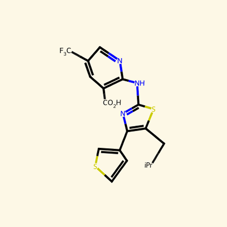 CC(C)Cc1sc(Nc2ncc(C(F)(F)F)cc2C(=O)O)nc1-c1ccsc1